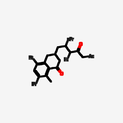 CCCC(CC1CC(=O)c2c(C)c(C(C)C)cc(CC)c2C1)C(CC)C(=O)CC(C)=O